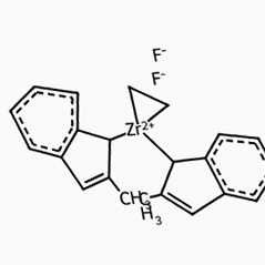 CC1=Cc2ccccc2[CH]1[Zr+2]1([CH]2C(C)=Cc3ccccc32)[CH2][CH2]1.[F-].[F-]